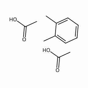 CC(=O)O.CC(=O)O.Cc1ccccc1C